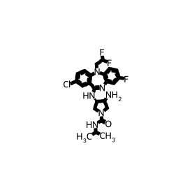 CC(C)NC(=O)N1CC(N)[C@H](NC2=Nc3cc(F)ccc3N(CC(F)F)c3ccc(Cl)cc32)C1